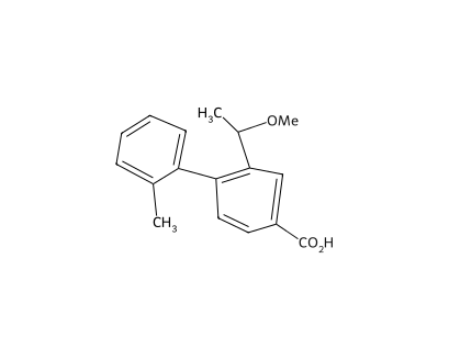 COC(C)c1cc(C(=O)O)ccc1-c1ccccc1C